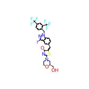 O=C1N=C(N2CCO[C@H](CO)C2)SC1=Cc1ccc2c(c1)c(I)nn2Cc1ccc(C(F)(F)F)cc1C(F)(F)F